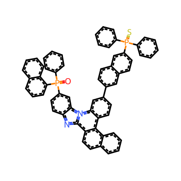 O=P(c1ccccc1)(c1ccc2nc3c4ccc5ccccc5c4c4ccc(-c5ccc6cc(P(=S)(c7ccccc7)c7ccccc7)ccc6c5)cc4n3c2c1)c1cccc2ccccc12